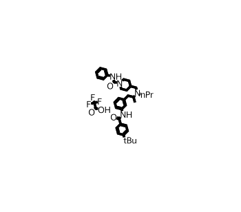 CCCN(CC1CCN(C(=O)Nc2ccccc2)CC1)C(C)Cc1cccc(NC(=O)c2ccc(C(C)(C)C)cc2)c1.O=C(O)C(F)(F)F